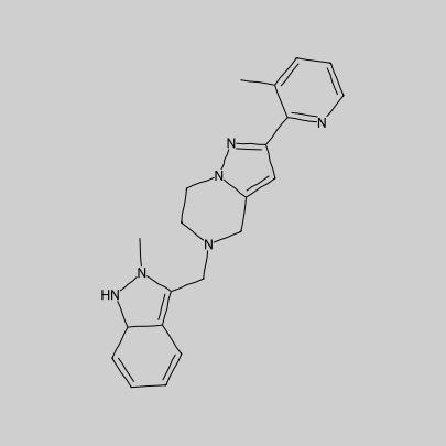 Cc1cccnc1-c1cc2n(n1)CCN(CC1=C3C=CC=CC3NN1C)C2